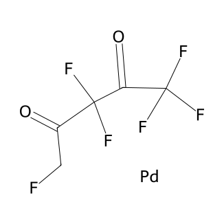 O=C(CF)C(F)(F)C(=O)C(F)(F)F.[Pd]